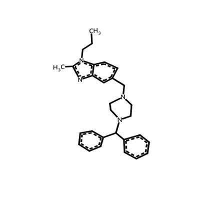 CCCn1c(C)nc2cc(CN3CCN(C(c4ccccc4)c4ccccc4)CC3)ccc21